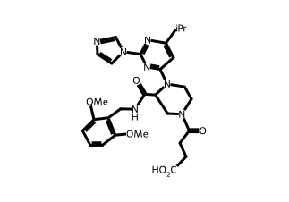 COc1cccc(OC)c1CNC(=O)C1CN(C(=O)CCC(=O)O)CCN1c1cc(C(C)C)nc(-n2ccnc2)n1